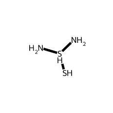 N[SH](N)S